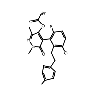 Cc1ccc(CCc2c(Cl)ccc(F)c2-c2c(OC(=O)C(C)C)c(C)nn(C)c2=O)cc1